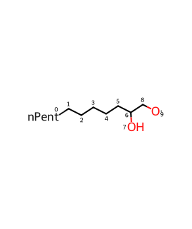 [CH2]CCCCCCCCCC(O)C[O]